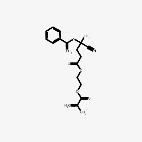 C=C(C)C(=O)OCCOC(=O)CCC(C)(C#N)SC(=C)c1ccccc1